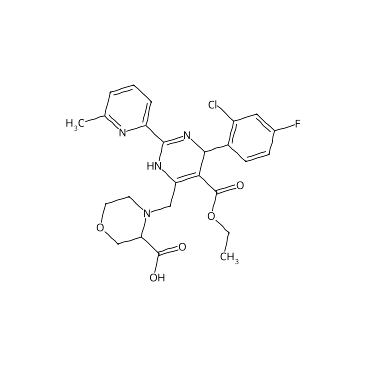 CCOC(=O)C1=C(CN2CCOCC2C(=O)O)NC(c2cccc(C)n2)=NC1c1ccc(F)cc1Cl